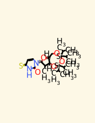 CC1[C@H]2O[Si](C(C)C)(C(C)C)O[Si](C(C)C)(C(C)C)OC[C@H]2O[C@H]1n1ccc(=S)[nH]c1=O